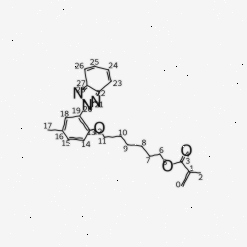 C=C(C)C(=O)OCCCCCCOc1ccc(C)cc1-n1nc2ccccc2n1